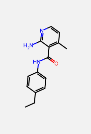 CCc1ccc(NC(=O)c2c(C)ccnc2N)cc1